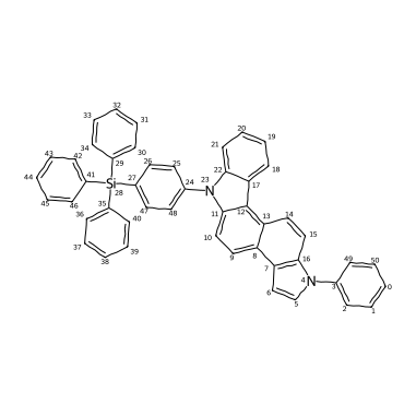 c1ccc(-n2ccc3c4ccc5c(c4ccc32)c2ccccc2n5-c2ccc([Si](c3ccccc3)(c3ccccc3)c3ccccc3)cc2)cc1